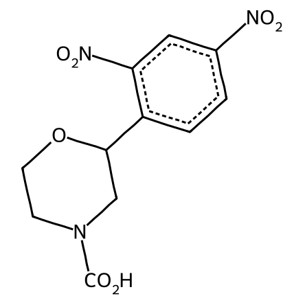 O=C(O)N1CCOC(c2ccc([N+](=O)[O-])cc2[N+](=O)[O-])C1